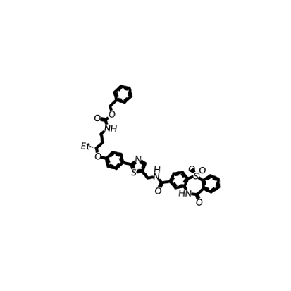 CC[C@H](CCNC(=O)OCc1ccccc1)Oc1ccc(-c2ncc(CNC(=O)c3ccc4c(c3)NC(=O)c3ccccc3S4(=O)=O)s2)cc1